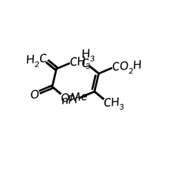 C=C(C)C(=O)OC.CCCC(C)=C(C)C(=O)O